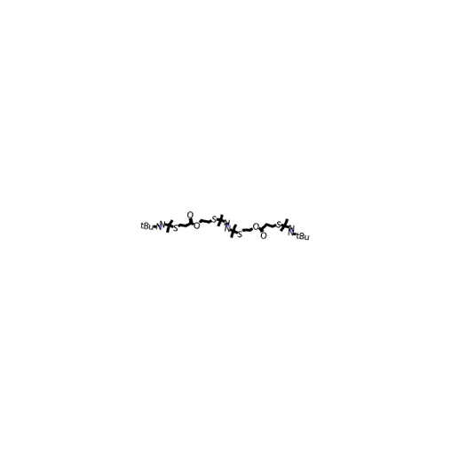 CC(C)(C)/N=N/C(C)(C)SCCC(=O)OCCSC(C)(C)/N=N/C(C)(C)SCCOC(=O)CCSC(C)(C)/N=N/C(C)(C)C